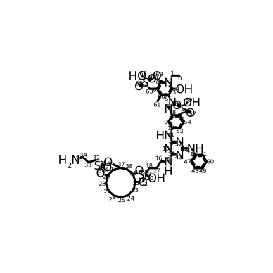 CCn1c(O)c(/N=N/c2cc(Nc3nc(NCCC[Si]4(O)OC5CCCCCCC6O[Si]7(CCCN)OC(CC5O4)C6O7)nc(Nc4ccccc4)n3)ccc2S(=O)(=O)O)c(C)c(CS(=O)(=O)O)c1=O